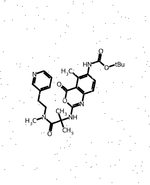 Cc1c(NC(=O)OC(C)(C)C)ccc2nc(NC(C)(C)C(=O)N(C)CCc3cccnc3)oc(=O)c12